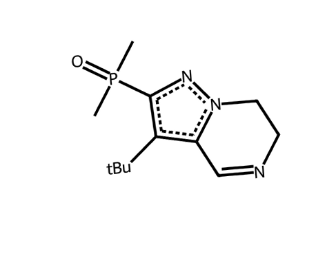 CC(C)(C)c1c(P(C)(C)=O)nn2c1C=NCC2